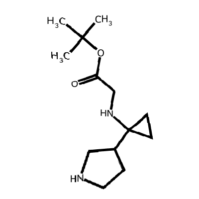 CC(C)(C)OC(=O)CNC1(C2CCNC2)CC1